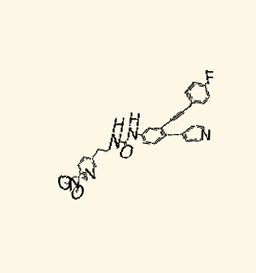 O=C(NCCc1ccc([N+](=O)[O-])nc1)Nc1ccc(-c2ccncc2)c(C#Cc2ccc(F)cc2)c1